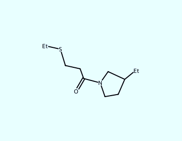 CCSCCC(=O)N1CCC(CC)C1